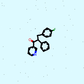 O=C(c1cccnc1)C(Cc1ccc(F)cc1)c1ccccc1